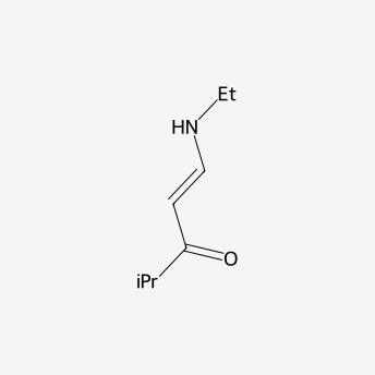 CCN/C=C/C(=O)C(C)C